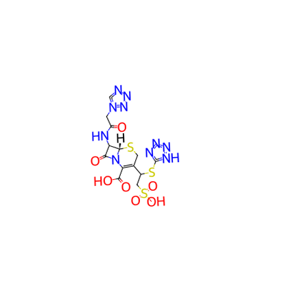 O=C(Cn1cnnn1)NC1C(=O)N2C(C(=O)O)=C(C(CS(=O)(=O)O)Sc3nnn[nH]3)CS[C@@H]12